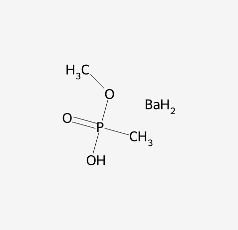 COP(C)(=O)O.[BaH2]